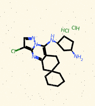 Cl.Cl.N[C@@H]1CC[C@H](Nc2c3c(nc4c(Cl)cnn24)CC2(CCCCC2)CC3)C1